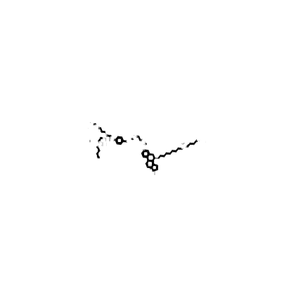 CC(C)C(=O)CCC(=O)N[C@H](C(=O)N[C@@H](CCCNC(N)=O)C(=O)Nc1ccc(COC(=O)N(C)CCN(C)C(=O)Oc2ccc3c(c2)C[C@@H](CCCCCCCCC[S+]([O-])CCCC(F)(F)C(F)(F)F)[C@@H]2C3CC[C@]3(C)[C@@H](O)CC[C@@H]23)cc1)C(C)C